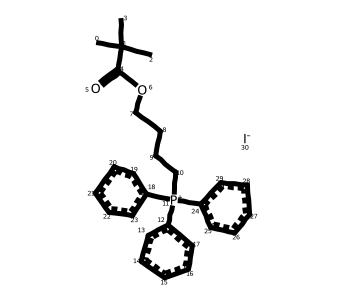 CC(C)(C)C(=O)OCCCC[P+](c1ccccc1)(c1ccccc1)c1ccccc1.[I-]